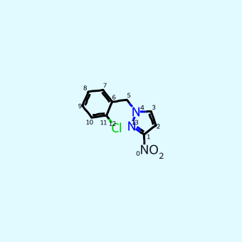 O=[N+]([O-])c1ccn(Cc2ccccc2Cl)n1